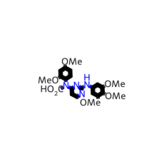 COc1ccc(N(C(=O)O)c2ccnc(Nc3cc(OC)c(OC)c(OC)c3)n2)c(OC)c1